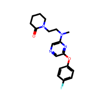 CN(CCN1CCCCC1=O)c1cncc(Oc2ccc(F)cc2)n1